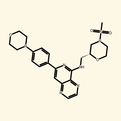 CS(=O)(=O)N1CCO[C@H](CNc2nc(-c3ccc(N4CCOCC4)cc3)cc3nccnc23)C1